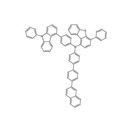 c1ccc(-c2ccc(N(c3ccc(-c4ccc(-c5ccc6ccccc6c5)cc4)cc3)c3ccc(-c4cccc5c4c4ccccc4n5-c4ccccc4)cc3)c3c2sc2ccccc23)cc1